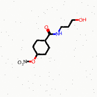 O=C(NCCCO)C1CCC(O[N+](=O)[O-])CC1